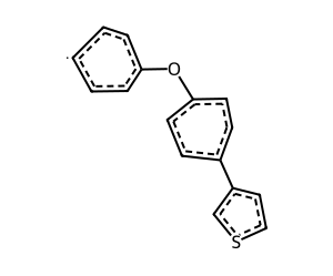 [c]1ccc(Oc2ccc(-c3ccsc3)cc2)cc1